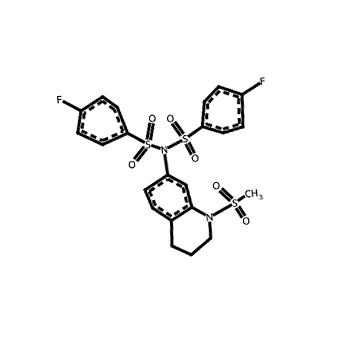 CS(=O)(=O)N1CCCc2ccc(N(S(=O)(=O)c3ccc(F)cc3)S(=O)(=O)c3ccc(F)cc3)cc21